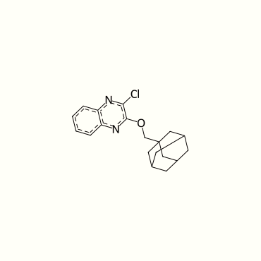 Clc1nc2ccccc2nc1OCC12CC3CC(CC(C3)C1)C2